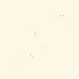 COc1cccc(Oc2ncccc2N=C=S)c1